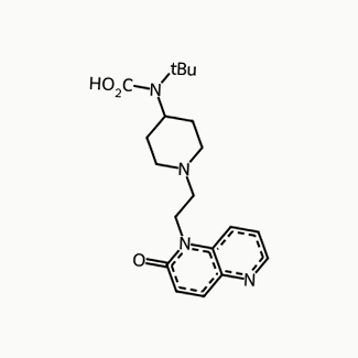 CC(C)(C)N(C(=O)O)C1CCN(CCn2c(=O)ccc3ncccc32)CC1